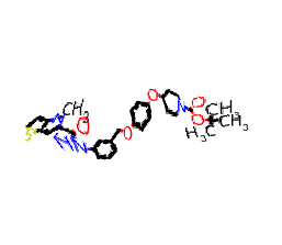 Cn1c(C(=O)Nc2cccc(COc3ccc(OC4CCN(C(=O)OC(C)(C)C)CC4)cc3)c2)cc2sccc21